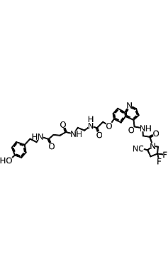 N#CC1CC(F)(F)CN1C(=O)CNC(=O)c1ccnc2ccc(OCC(=O)NCCNC(=O)CCC(=O)NCCc3ccc(O)cc3)cc12